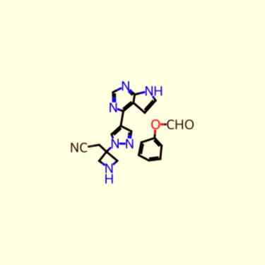 N#CCC1(n2cc(-c3ncnc4[nH]ccc34)cn2)CNC1.O=COc1ccccc1